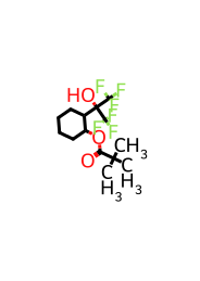 CC(C)(C)C(=O)OC1CCCCC1C(O)(C(F)(F)F)C(F)(F)F